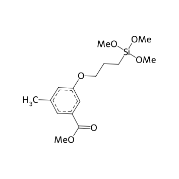 COC(=O)c1cc(C)cc(OCCC[Si](OC)(OC)OC)c1